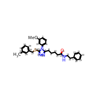 COc1cccc(-n2c(CCCCC(=O)NCCc3ccccc3)nnc2SCc2cccc(C)c2)c1